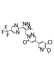 COc1ncc(-c2cnn(Cc3c(-c4ncc(C(F)(F)F)cn4)nnn3C)c(=O)c2)cc1Cl